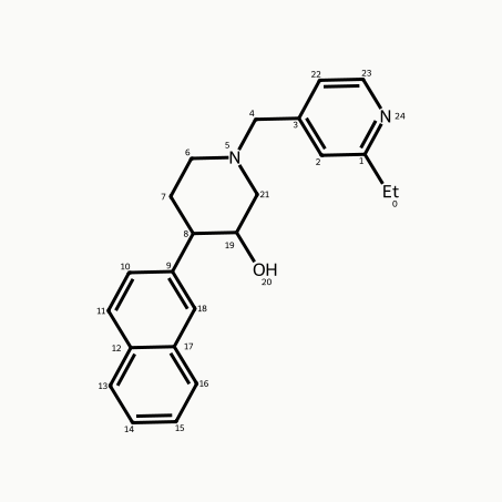 CCc1cc(CN2CCC(c3ccc4ccccc4c3)C(O)C2)ccn1